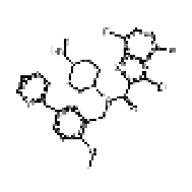 CN[C@H]1CC[C@@H](N(Cc2cc(-c3ccccn3)ccc2OC)C(=O)c2sc3c(F)ccc(F)c3c2Cl)CC1